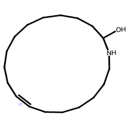 OC1CCCCCCCCC/C=C\CCCCCCN1